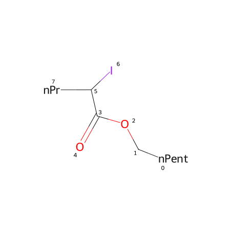 CCCCCCOC(=O)C(I)CCC